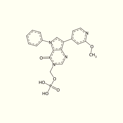 COc1cc(-c2cn(-c3ccccc3)c3c(=O)n(COP(=O)(O)O)cnc23)ccn1